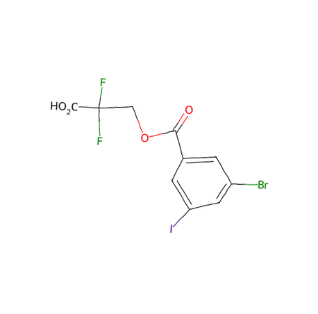 O=C(OCC(F)(F)C(=O)O)c1cc(Br)cc(I)c1